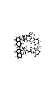 CCC1CCC(C)N(C[C@@H](O)CNS(=O)(=O)c2cccc3ccccc23)C1.CCC1CCCCN1C[C@H](CNS(=O)(=O)c1cccc2ccccc12)OC(=O)C(F)(F)F